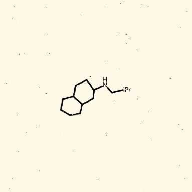 CC(C)CNC1CCC2CCCCC2C1